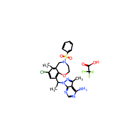 Cc1c(Cl)cc(C(C)n2nc(C)c3c(N)ncnc32)c2c1CN(S(=O)(=O)c1ccccc1)CCO2.O=C(O)C(F)(F)F